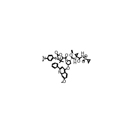 C=C[C@@H]1C[C@]1(NC(=O)[C@@H]1C[C@@H](Oc2cc(-c3ccccc3)nc3cc(OC)ccc23)CN1C(=O)C(OC(=O)Nc1ccc(N(C)C)cc1)C(C)(C)C)C(=O)NS(=O)(=O)C1CC1